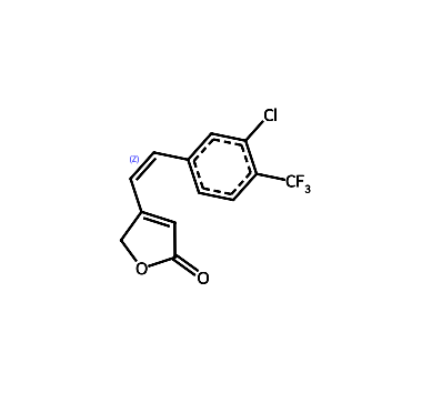 O=C1C=C(/C=C\c2ccc(C(F)(F)F)c(Cl)c2)CO1